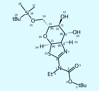 CCN(C(=O)OC(C)(C)C)C1=N[C@@H]2[C@@H](O)[C@H](O)[C@@H](CO[Si](C)(C)C(C)(C)C)O[C@@H]2S1